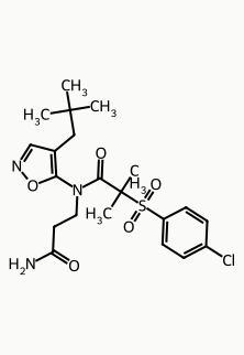 CC(C)(C)Cc1cnoc1N(CCC(N)=O)C(=O)C(C)(C)S(=O)(=O)c1ccc(Cl)cc1